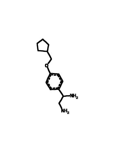 NCC(N)c1ccc(OCC2CCCC2)cc1